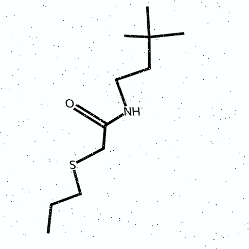 CCCSCC(=O)NCCC(C)(C)C